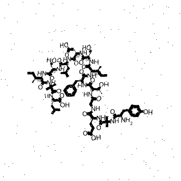 CC[C@H](C)[C@H](NC(=O)[C@H](Cc1ccccc1)NC(=O)[C@@H](NC(=O)CNC(=O)[C@H](CCC(=O)O)NC(=O)C(C)(C)NC(=O)[C@@H](N)Cc1ccc(O)cc1)[C@@H](C)O)C(=O)N[C@@H](CO)C(=O)N[C@@H](CC(=O)O)C(=O)N[C@@H](CC(C)C)C(=O)N[C@@H](CO)C(=O)N[C@H](C(=O)NC(C)(C)C(=O)N[C@@H](CC(C)C)C(=O)O)[C@@H](C)CC